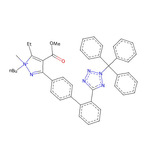 CCCC[N+]1(C)N=C(c2ccc(-c3ccccc3-c3nnn(C(c4ccccc4)(c4ccccc4)c4ccccc4)n3)cc2)C(C(=O)OC)=C1CC